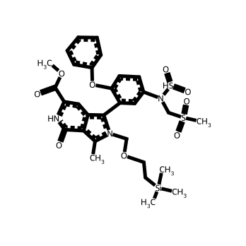 COC(=O)c1cc2c(-c3cc(N(CS(C)(=O)=O)[SH](=O)=O)ccc3Oc3ccccc3)n(COCC[Si](C)(C)C)c(C)c2c(=O)[nH]1